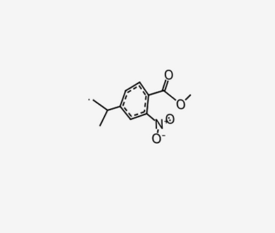 [CH2]C(C)c1ccc(C(=O)OC)c([N+](=O)[O-])c1